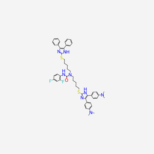 CN(C)c1ccc(-c2nc(SCCCCCN(CCCCCSc3nc(-c4ccccc4)c(-c4ccccc4)[nH]3)C(=O)Nc3ccc(F)cc3F)[nH]c2-c2ccc(N(C)C)cc2)cc1